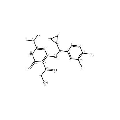 CN(C)c1nc(NC(c2ccc(C(F)(F)F)c(F)c2)C2CC2)c(C(=N)CO)c(=O)[nH]1